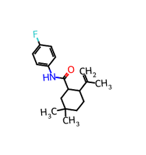 C=C(C)C1CCC(C)(C)CC1C(=O)Nc1ccc(F)cc1